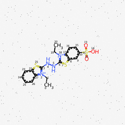 CC[n+]1c(NNc2sc3cc(S(=O)(=O)O)ccc3[n+]2CC)sc2ccccc21